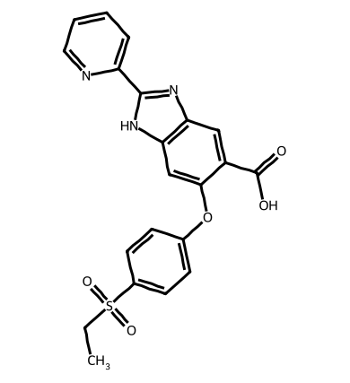 CCS(=O)(=O)c1ccc(Oc2cc3[nH]c(-c4ccccn4)nc3cc2C(=O)O)cc1